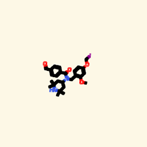 COc1cc(OCI)ccc1CN(C(=O)c1ccc(C=O)cc1)C1CC(C)(C)NC(C)(C)C1